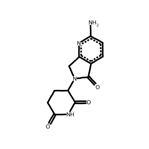 Nc1ccc2c(n1)CN(C1CCC(=O)NC1=O)C2=O